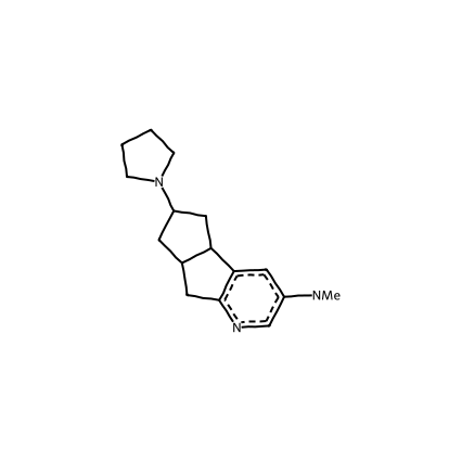 CNc1cnc2c(c1)C1CC(N3CCCC3)CC1C2